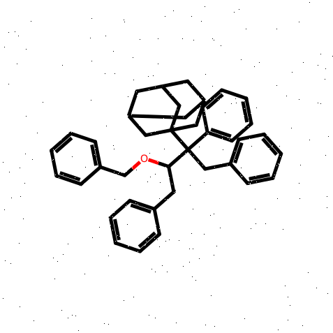 c1ccc(COC(Cc2ccccc2)C(Cc2ccccc2)(c2ccccc2)C23CC4CC(CC(C4)C2)C3)cc1